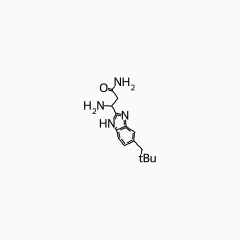 CC(C)(C)Cc1ccc2[nH]c(C(N)CC(N)=O)nc2c1